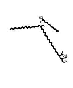 CCCCCCCCCCCC(=O)O.CCCCCCCCCCCCCCCCCCC(CC)CCCCCCCCCCCCCCCCCC(CC(O)CO)C(=O)O